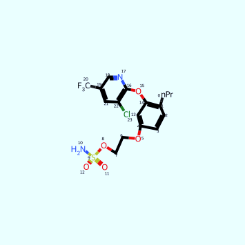 [CH2]CCc1ccc(OCCOS(N)(=O)=O)cc1Oc1ncc(C(F)(F)F)cc1Cl